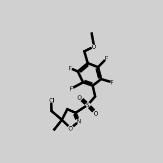 COCc1c(F)c(F)c(CS(=O)(=O)C2=NOC(C)(CCl)C2)c(F)c1F